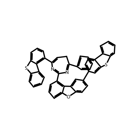 C1=C(c2cccc3sc4ccccc4c23)N=C(c2cccc3oc4ccc(-c5ccc6c(c5)sc5ccccc56)cc4c23)N=C(c2ccccc2)C1